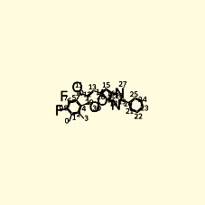 Cc1c(C)c2c(c(F)c1F)C(=O)/C(=C/c1cc3c(nc(-c4ccccc4)n3C)o1)C2=O